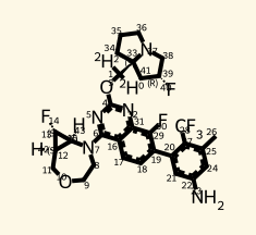 [2H]C([2H])(Oc1nc(N2CCOC[C@H]3[C@H](F)[C@H]32)c2ccc(-c3cc(N)cc(C)c3C(F)(F)F)c(F)c2n1)[C@@]12CCCN1C[C@H](F)C2